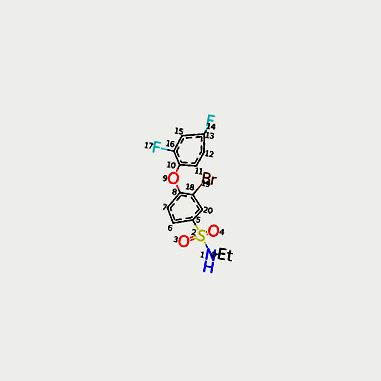 CCNS(=O)(=O)c1ccc(Oc2ccc(F)cc2F)c(Br)c1